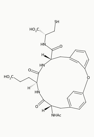 CC(=O)N[C@H]1Cc2ccc(cc2)Oc2cccc(c2)C[C@@H](C(=O)N[C@@H](CS)C(=O)O)NC(=O)[C@H](CCC(=O)O)NC1=O